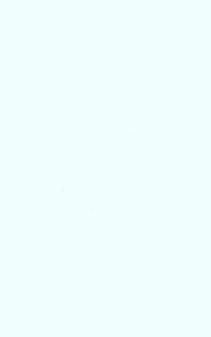 CC(C)[O][Zr+2][O]C(C)C.CCCCC(=O)CC(=O)[O-].CCCCC(=O)CC(=O)[O-]